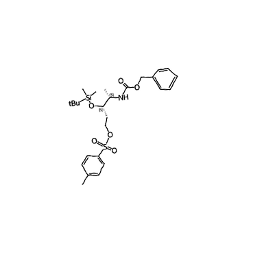 Cc1ccc(S(=O)(=O)OCC[C@H](O[Si](C)(C)C(C)(C)C)[C@H](C)NC(=O)OCc2ccccc2)cc1